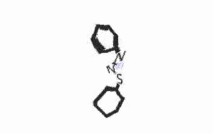 c1ccc(/N=N/SC2CCCCC2)cc1